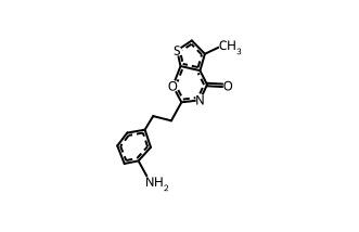 Cc1csc2oc(CCc3cccc(N)c3)nc(=O)c12